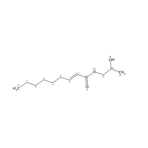 CCCCCCC=CC(=O)OCC(C)O